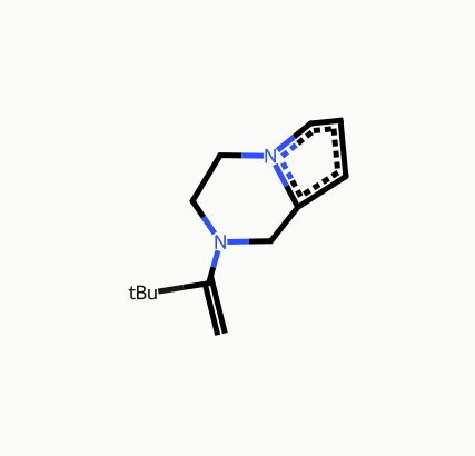 C=C(N1CCn2cccc2C1)C(C)(C)C